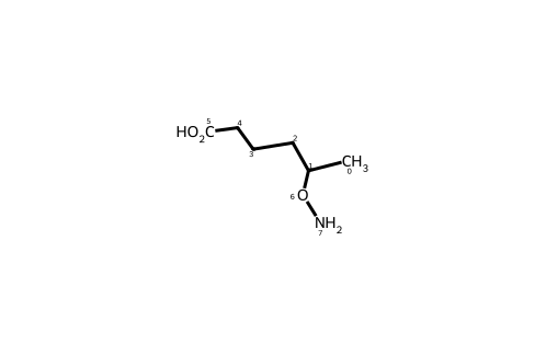 CC(CCCC(=O)O)ON